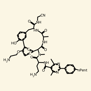 CCCCCc1ccc(-c2nc(C)c(C(=O)NC(CCN)C(=O)N(C)C3C(=O)NC(C)C(=O)NC(C(=O)NCC#N)Cc4ccc(O)c(c4)-c4cc3ccc4OCCN)c(C)n2)cc1